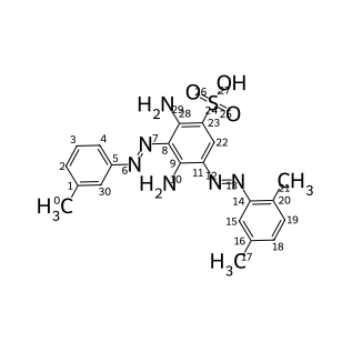 Cc1cccc(/N=N/c2c(N)c(/N=N/c3cc(C)ccc3C)cc(S(=O)(=O)O)c2N)c1